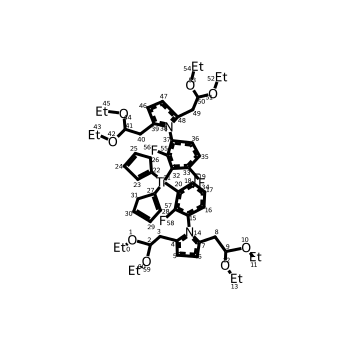 CCOC(Cc1ccc(CC(OCC)OCC)n1-c1ccc(F)[c]([Ti]([C]2=CC=CC2)([C]2=CC=CC2)[c]2c(F)ccc(-n3c(CC(OCC)OCC)ccc3CC(OCC)OCC)c2F)c1F)OCC